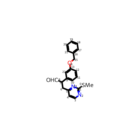 CSc1nccc(CC(C=O)c2cccc(OCc3ccccc3)c2)n1